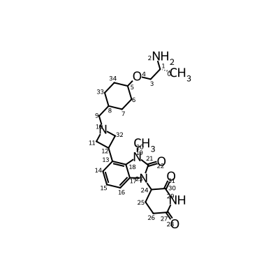 C[C@@H](N)COC1CCC(CN2CC(c3cccc4c3n(C)c(=O)n4C3CCC(=O)NC3=O)C2)CC1